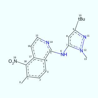 Cc1ccc2c(Nc3cc(C(C)(C)C)nn3C)nccc2c1[N+](=O)[O-]